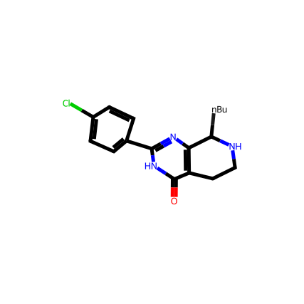 CCCCC1NCCc2c1nc(-c1ccc(Cl)cc1)[nH]c2=O